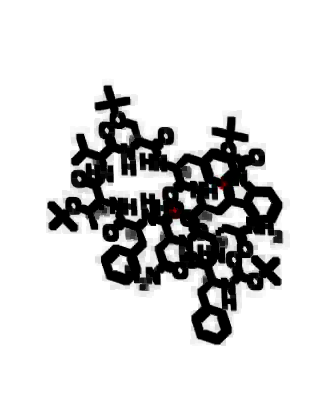 CC(C)[C@H](NC(=O)[C@@H](NC(=O)[C@H](Cc1ccccc1)NC(=O)[C@H](CC(N)=O)NC(=O)[C@H](CC(N)=O)NC(=O)[C@H](Cc1ccccc1)NC(=O)OC(C)(C)C)[C@@H](C)OC(C)(C)C)C(=O)N[C@@H](COC(C)(C)C)C(=O)N[C@@H](Cc1ccccc1)C(=O)N[C@@H](Cc1cn(C(=O)OC(C)(C)C)c2ccccc12)C(=O)O